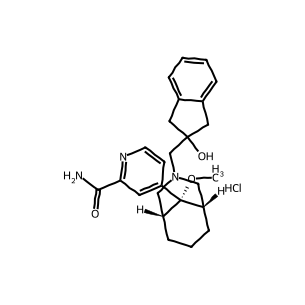 CO[C@@]1(c2ccnc(C(N)=O)c2)[C@@H]2CCC[C@H]1CN(CC1(O)Cc3ccccc3C1)C2.Cl